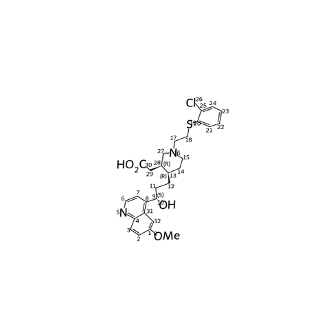 COc1ccc2nccc([C@@H](O)CC[C@@H]3CCN(CCSc4ccccc4Cl)C[C@@H]3CC(=O)O)c2c1